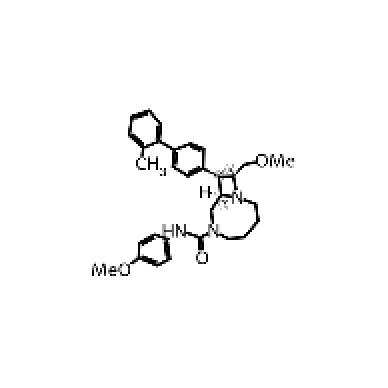 COC[C@@H]1[C@H](c2ccc(-c3ccccc3C)cc2)[C@@H]2CN(C(=O)Nc3ccc(OC)cc3)CCCCN12